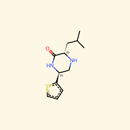 CC(C)C[C@@H]1NC[C@@H](c2cccs2)NC1=O